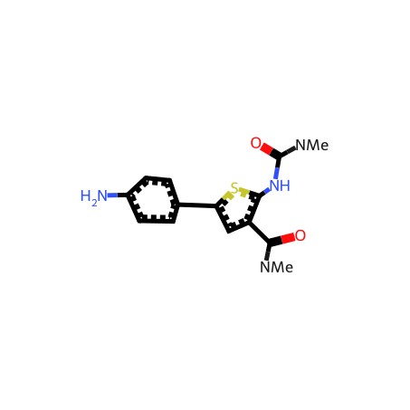 CNC(=O)Nc1sc(-c2ccc(N)cc2)cc1C(=O)NC